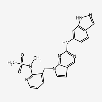 CN(c1ncccc1Cn1ccc2cnc(Nc3ccc4cn[nH]c4c3)nc21)S(C)(=O)=O